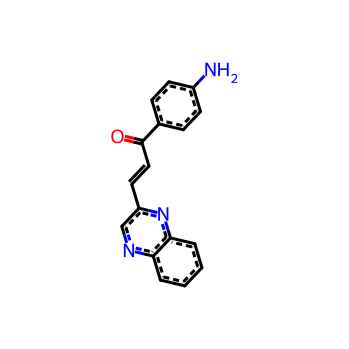 Nc1ccc(C(=O)C=Cc2cnc3ccccc3n2)cc1